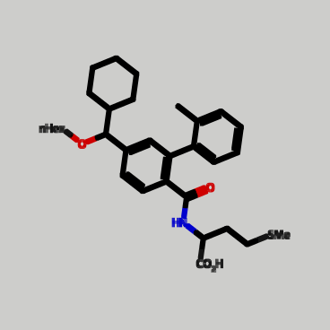 CCCCCCOC(c1ccc(C(=O)NC(CCSC)C(=O)O)c(-c2ccccc2C)c1)C1CCCCC1